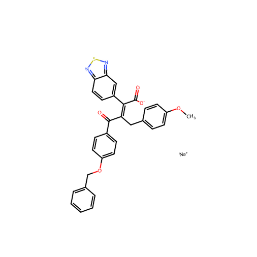 COc1ccc(CC(C(=O)c2ccc(OCc3ccccc3)cc2)=C(C(=O)[O-])c2ccc3nsnc3c2)cc1.[Na+]